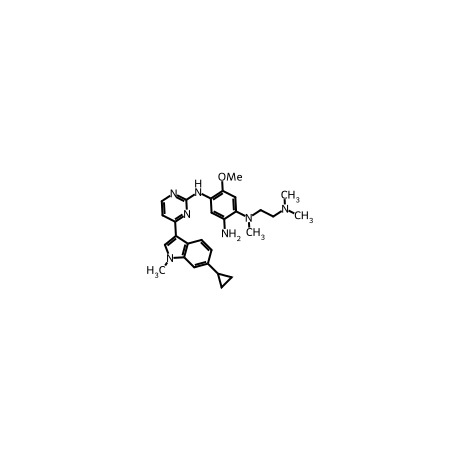 COc1cc(N(C)CCN(C)C)c(N)cc1Nc1nccc(-c2cn(C)c3cc(C4CC4)ccc23)n1